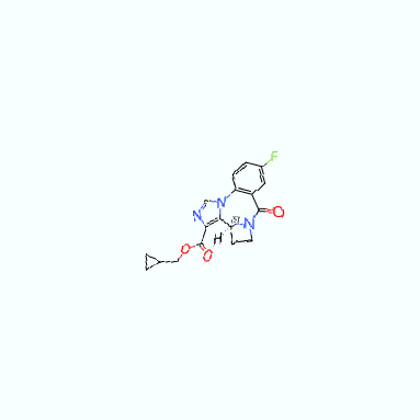 O=C(OCC1CC1)c1ncn2c1[C@@H]1CCN1C(=O)c1cc(F)ccc1-2